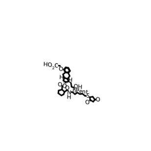 CCCCC[C@H](O)CC[C@@H]1[C@H]2Cc3cccc(OCC(=O)O)c3C[C@H]2C[C@H]1OC(=O)C1CCCCC1C(=O)NCCCCCCSC1CC(=O)CC1=O